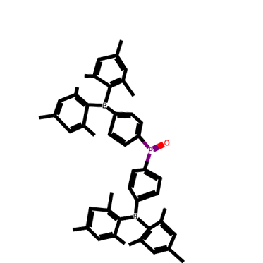 Cc1cc(C)c(B(c2ccc([P](=O)c3ccc(B(c4c(C)cc(C)cc4C)c4c(C)cc(C)cc4C)cc3)cc2)c2c(C)cc(C)cc2C)c(C)c1